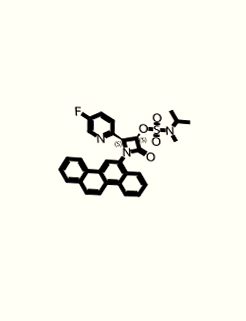 CC(C)N(C)S(=O)(=O)O[C@@H]1C(=O)N(c2cc3c4ccccc4ccc3c3ccccc23)[C@H]1c1ccc(F)cn1